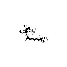 CC(C)(C)CCCCCC(=O)OOC(C)(C)CC(C)(C)C